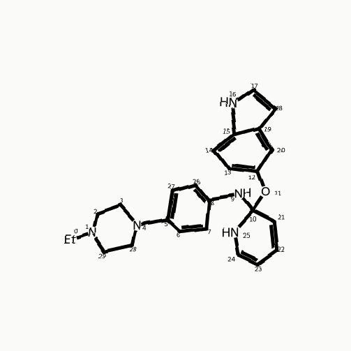 CCN1CCN(c2ccc(NC3(Oc4ccc5[nH]ccc5c4)C=CC=CN3)cc2)CC1